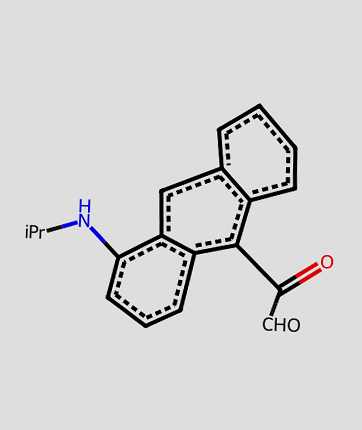 CC(C)Nc1cccc2c(C(=O)C=O)c3ccccc3cc12